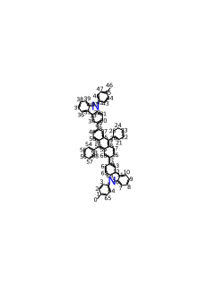 Cc1ccc(N2c3ccccc3C3C=C(c4ccc5c(C6=CC=CCC6)c6cc(-c7ccc8c(c7)c7ccccc7n8-c7ccc(C)cc7)ccc6c(-c6ccccc6)c5c4)C=CC32)cc1